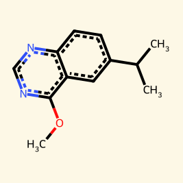 COc1ncnc2ccc(C(C)C)cc12